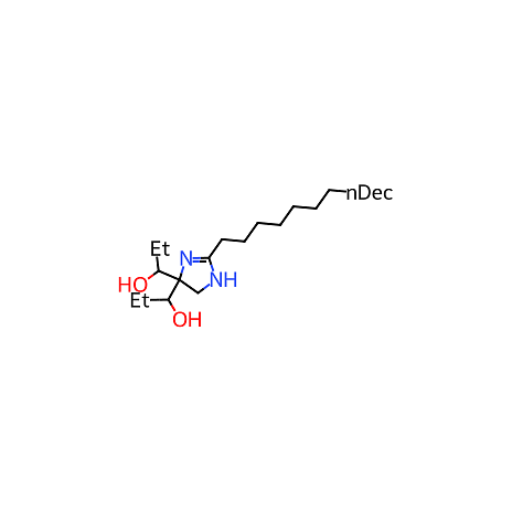 CCCCCCCCCCCCCCCCCC1=NC(C(O)CC)(C(O)CC)CN1